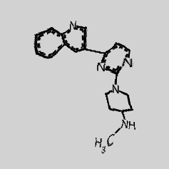 CNC1CCN(c2nccc(-c3cnc4ccccc4c3)n2)CC1